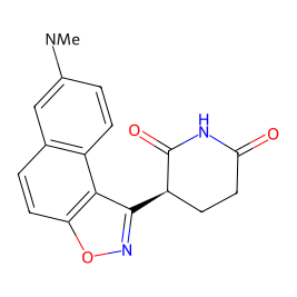 CNc1ccc2c(ccc3onc([C@@H]4CCC(=O)NC4=O)c32)c1